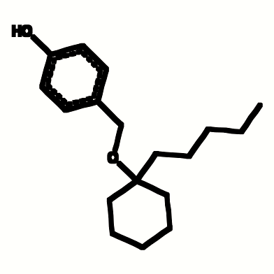 CCCCCC1(OCc2ccc(O)cc2)CCCCC1